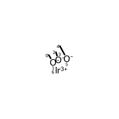 C[O-].C[O-].C[O-].[Ir+3]